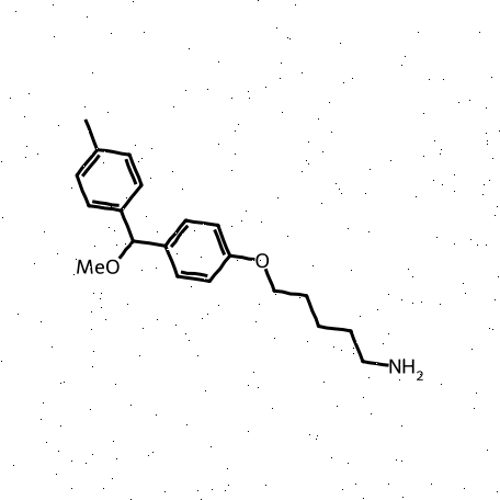 COC(c1ccc(C)cc1)c1ccc(OCCCCCN)cc1